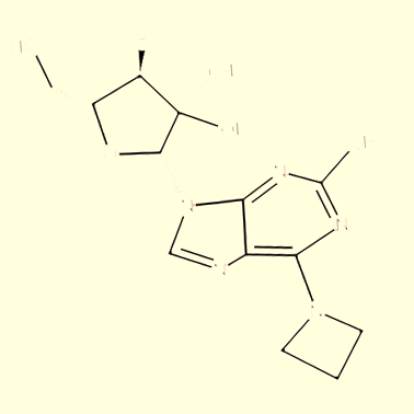 Cc1nc(N2CCC2)c2ncn([C@@H]3O[C@H](CO)[C@@H](F)[C@@]3(C)O)c2n1